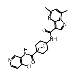 Cc1cc(C)n2ncc(C(=O)NC34CCC(C(=O)Nc5cnccc5Cl)(CC3)CC4)c2n1